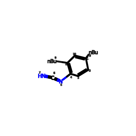 CCCCc1ccc(N=C=N)c(CCCC)c1